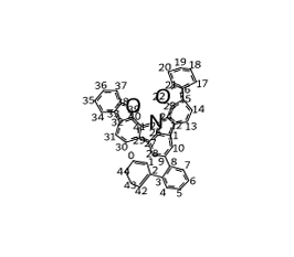 C1=CC(c2ccccc2-c2cc3c4ccc5c6ccccc6oc5c4n4c3c(c2)c2ccc3c5ccccc5oc3c24)=CCC1